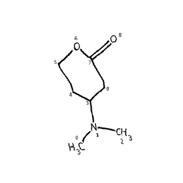 CN(C)C1CCOC(=O)C1